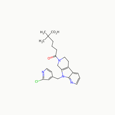 CC(C)(CCCC(=O)N1CCc2c(n(Cc3ccnc(Cl)c3)c3ncccc23)C1)C(=O)O